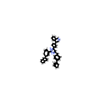 C1=CC(c2nc(Cc3ccc(-c4ccccc4)cc3)cc(-c3ccc(-c4cncc5ccccc45)cc3)n2)=CC(c2ccc3ccccc3c2)C1